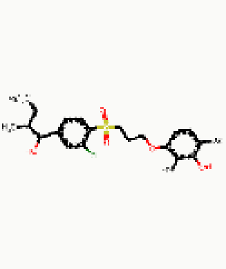 CCCc1c(OCCCS(=O)(=O)c2ccc(C(O)C(C)CC(=O)O)cc2Cl)ccc(C(C)=O)c1O